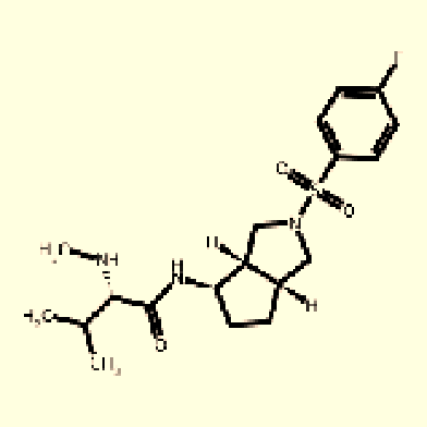 CN[C@H](C(=O)N[C@@H]1CC[C@H]2CN(S(=O)(=O)c3ccc(F)cc3)C[C@H]21)C(C)C